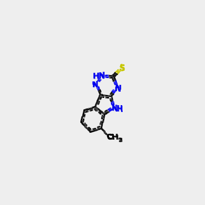 Cc1cccc2c1[nH]c1nc(=S)[nH]nc12